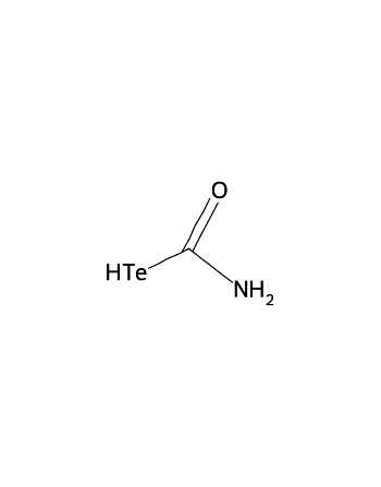 NC(=O)[TeH]